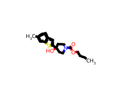 CCCCOC(=O)N1CCC(O)(c2cc3ccc(C)cc3s2)CC1